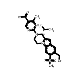 Cc1nc(N2CCn3c(cc4cc(CO)c(S(C)(=O)=O)cc43)[C@H]2C(C)C)ncc1C(=O)O